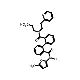 Cc1ccc(N(C)C(=O)c2ccccc2-c2ccccc2C(=O)N(CCC(=O)O)CCc2ccccn2)o1